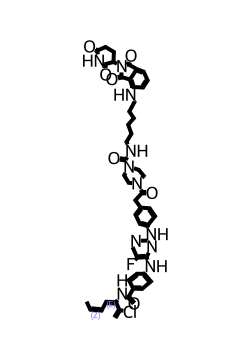 C=C(Cl)/C(=C\C=C/C)NC(=O)c1ccc(Nc2nc(Nc3ccc(CC(=O)N4CCN(C(=O)NCCCCCCNc5cccc6c5C(=O)N(C5CCC(=O)NC5=O)C6=O)CC4)cc3)ncc2F)cc1